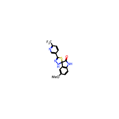 COc1ccc2c(c1)C1(NN=C(c3ccc(C(F)(F)F)nc3)S1)C(=O)N2